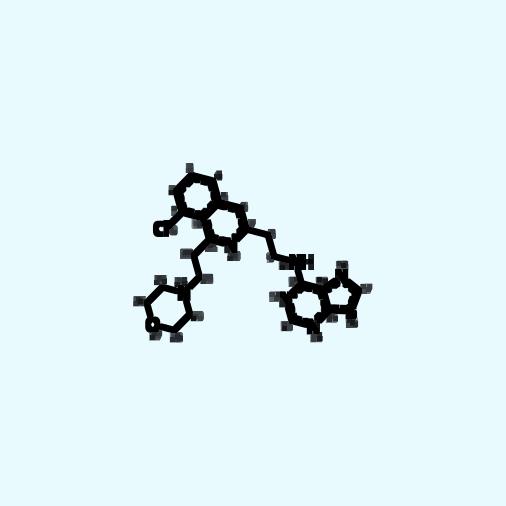 Clc1cccc2cc(CCNc3ncnc4scnc34)nc(CCN3CCOCC3)c12